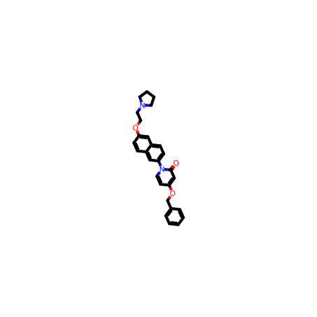 O=c1cc(OCc2ccccc2)ccn1-c1ccc2cc(OCCN3CCCC3)ccc2c1